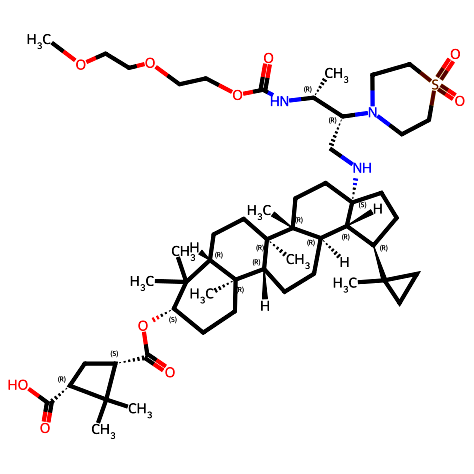 COCCOCCOC(=O)N[C@H](C)[C@@H](CN[C@]12CC[C@@H](C3(C)CC3)[C@@H]1[C@H]1CC[C@@H]3[C@@]4(C)CC[C@H](OC(=O)[C@H]5C[C@@H](C(=O)O)C5(C)C)C(C)(C)[C@@H]4CC[C@@]3(C)[C@]1(C)CC2)N1CCS(=O)(=O)CC1